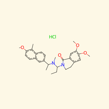 CCC(N1CCc2cc(OC)c(OC)cc2C1=O)N(C)C(C)c1ccc2c(C)c(OC)ccc2c1.Cl